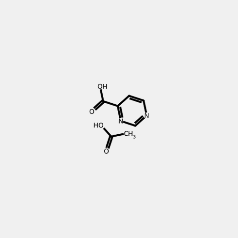 CC(=O)O.O=C(O)c1ccncn1